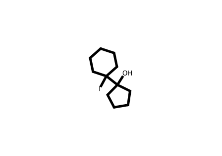 OC1(C2(I)CCCCC2)CCCC1